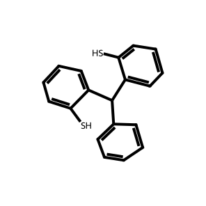 Sc1ccccc1C(c1ccccc1)c1ccccc1S